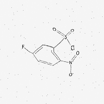 O=[N+]([O-])c1ccc(F)cc1S(=O)(=O)Cl